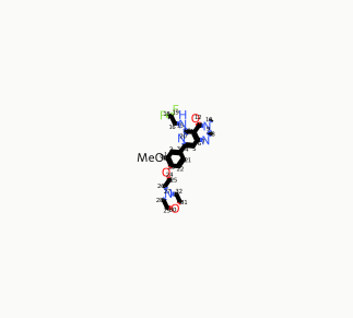 COc1cc(-c2cc3ncn(C)c(=O)c3c(NCC(F)F)n2)ccc1OCCN1CCOCC1